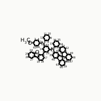 COc1ccc(N(c2ccccc2)c2cc(-c3cccc4c3oc3ccccc34)cc(N(c3ccccc3)c3ccc4c(c3)C3(c5ccccc5-c5ccccc53)c3ccccc3-4)c2)cc1